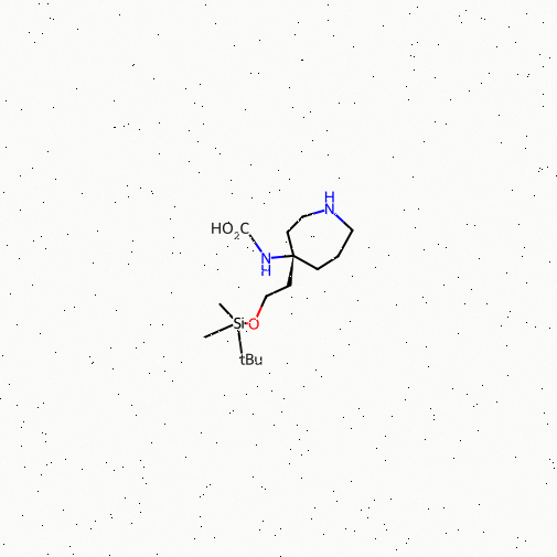 CC(C)(C)[Si](C)(C)OCC[C@]1(NC(=O)O)CCCNCC1